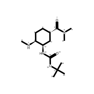 CN[C@H]1CC[C@H](C(=O)N(C)C)C[C@H]1NC(=O)OC(C)(C)C